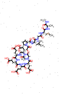 CNC(=O)[C@H](C)NC(=O)[C@H](CSC)NC(=O)CNC(=O)[C@H](CC(C)C)NC(=O)[C@@H]1CCCN1C(=O)COCCNC(=O)[C@@H](CCC(=O)O)NC(=O)[C@@H](CCC(=O)O)NC(=O)[C@@H](CCC(=O)O)NC(=O)[C@@H](CCC(=O)O)NC(=O)[C@@H](CCC(=O)O)NC(C)=O